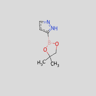 CC1(C)COB(c2ccn[nH]2)O1